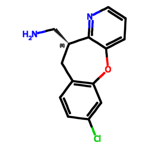 NC[C@H]1Cc2ccc(Cl)cc2Oc2cccnc21